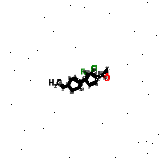 C=CC1CC=C(c2ccc(C3CO3)c(Cl)c2F)CC1